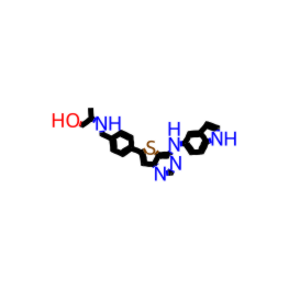 CC(CO)NCc1ccc(-c2cc3ncnc(Nc4ccc5[nH]ccc5c4)c3s2)cc1